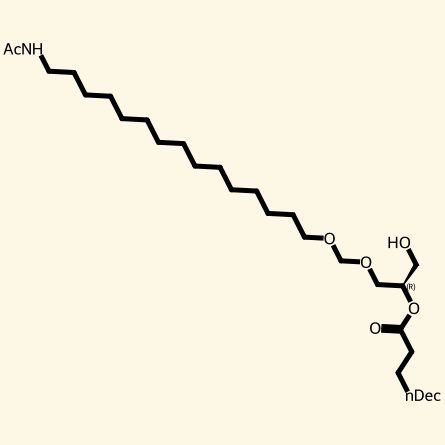 CCCCCCCCCCCCC(=O)O[C@H](CO)COCOCCCCCCCCCCCCCCCNC(C)=O